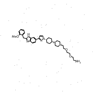 COc1ccccc1Cc1nc2ccc(-c3ccn([C@H]4CC[C@H](N5CCN(CCOCCOCCN)CC5)CC4)n3)cc2[nH]1